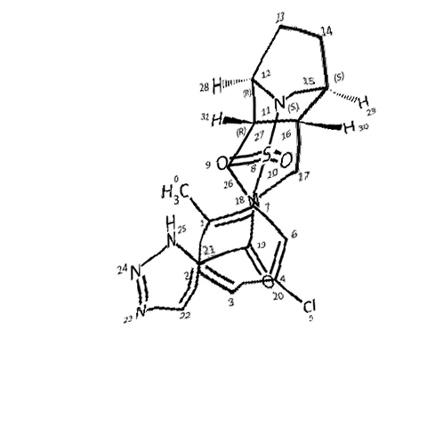 Cc1ccc(Cl)cc1S(=O)(=O)N1[C@@H]2CC[C@H]1[C@@H]1CN(C(=O)c3cnn[nH]3)C[C@@H]12